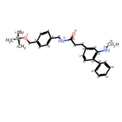 CC(C)(C)[Si](C)(C)OCc1ccc(CNC(=O)CCc2ccc(-c3ccccc3)c(NC(=O)O)c2)cc1